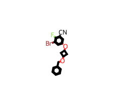 N#Cc1cc(OC2CC(OCc3ccccc3)C2)cc(Br)c1F